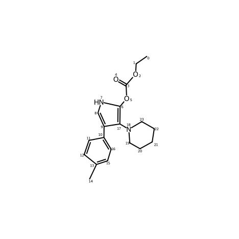 CCOC(=O)Oc1[nH]cc(-c2ccc(C)cc2)c1N1CCCCC1